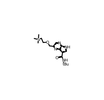 CC(C)(C)NC(=O)c1c[nH]c2ncc(COCC[Si](C)(C)C)nc12